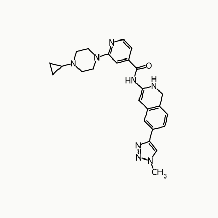 Cn1cc(-c2ccc3c(c2)C=C(NC(=O)c2ccnc(N4CCN(C5CC5)CC4)c2)NC3)nn1